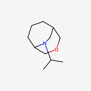 CC(C)N1CC2CCCC1COC2